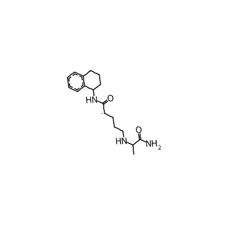 CC(NCCC[CH]C(=O)NC1CCCc2ccccc21)C(N)=O